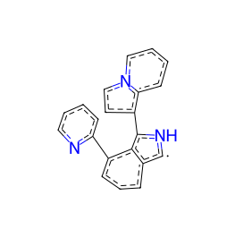 [c]1[nH]c(-c2ccn3ccccc23)c2c(-c3ccccn3)cccc12